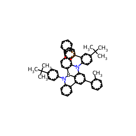 Cc1ccccc1-c1cc2c3c(c1)N(c1ccc(C(C)(C)C)cc1-c1ccccc1)c1c(ccc4c1sc1ccccc14)B3N(c1ccc(C(C)(C)C)cc1)c1ccccc1-2